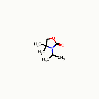 CC(C)N1C(=O)OCC1(C)C